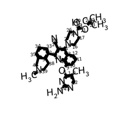 Cc1cnc(N)nc1Oc1cccc2c(N3CCN(C(=O)OC(C)(C)C)CC3)c(C#N)c(-c3cccc4c3CCN(C)C4)nc12